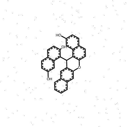 Oc1ccc2ccc(O)c(C3c4cc5ccccc5cc4Oc4ccc5ccc(O)cc5c43)c2c1